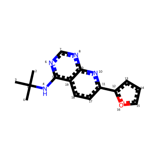 CC(C)(C)Nc1ncnc2nc(-c3ccco3)ccc12